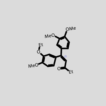 CCOc1cc(/C(=C\C(=O)CC)c2ccc(OC)c(OC)c2)ccc1OC